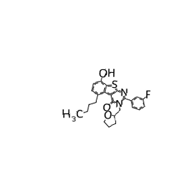 CCCCc1ccc(O)c2sc3nc(-c4cccc(F)c4)n(CC4CCCO4)c(=O)c3c12